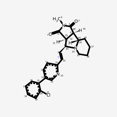 CN1C(=O)[C@@H]2[C@H](C1=O)[C@H](/C=C/c1ccc(-c3ccccc3Cl)cn1)N1CCCC[C@@H]21